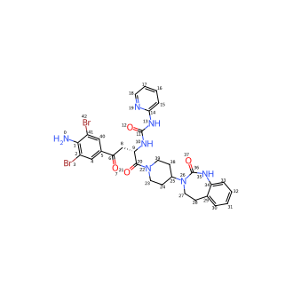 Nc1c(Br)cc(C(=O)C[C@H](NC(=O)Nc2ccccn2)C(=O)N2CCC(N3CCc4ccccc4NC3=O)CC2)cc1Br